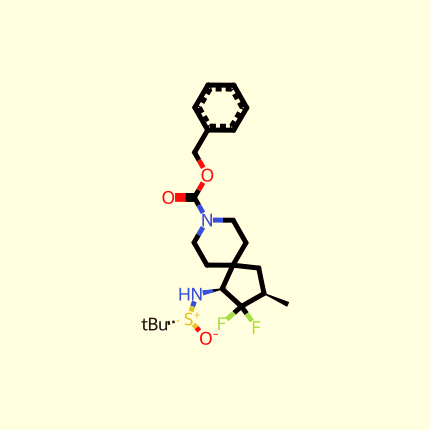 C[C@@H]1CC2(CCN(C(=O)OCc3ccccc3)CC2)[C@H](N[S@+]([O-])C(C)(C)C)C1(F)F